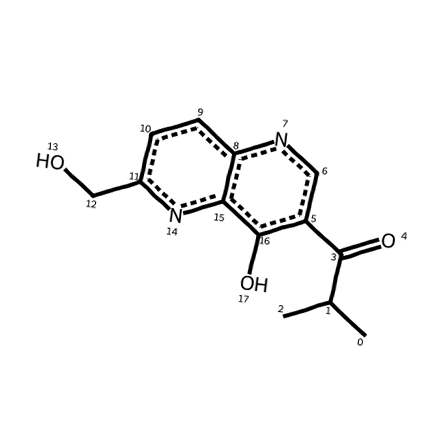 CC(C)C(=O)c1cnc2ccc(CO)nc2c1O